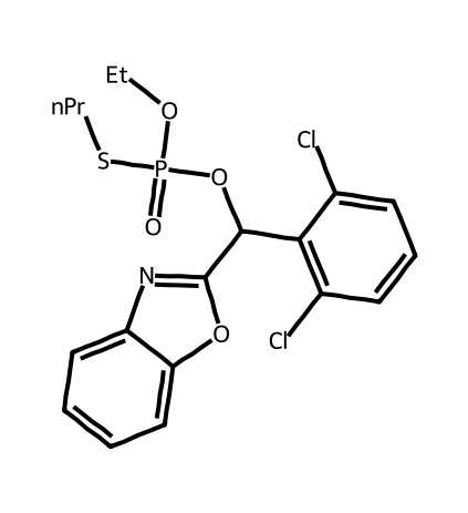 CCCSP(=O)(OCC)OC(c1nc2ccccc2o1)c1c(Cl)cccc1Cl